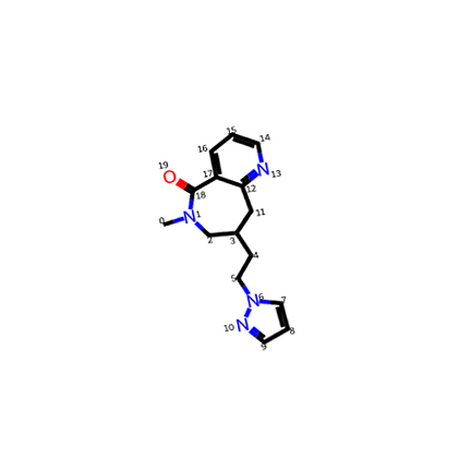 CN1CC(CCn2cccn2)Cc2ncccc2C1=O